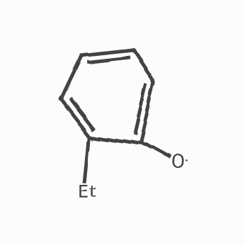 [CH2]Cc1ccccc1[O]